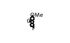 COC1CCC2(CC1)Cc1cc(F)ccc1C2=O